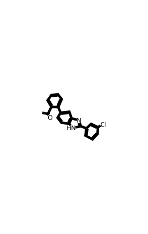 CC(=O)c1ccccc1-c1ccc2[nH]c(-c3cccc(Cl)c3)nc2c1